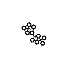 c1ccc(N(c2ccc3c(c2)c2ccccc2n3C2(c3ccccc3)c3ccccc3-c3ccccc32)c2cccc3c2-c2ccccc2C3(c2ccccc2)c2ccccc2)cc1